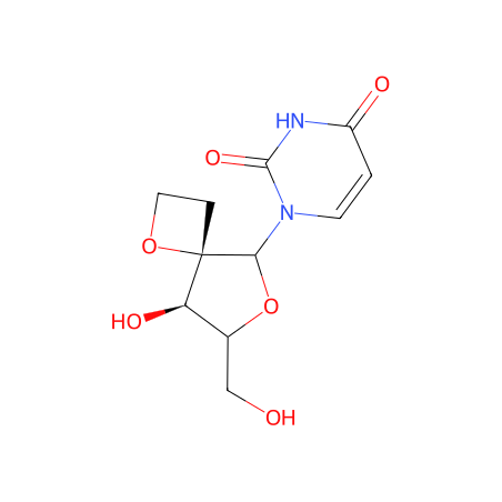 O=c1ccn(C2OC(CO)[C@@H](O)[C@@]23CCO3)c(=O)[nH]1